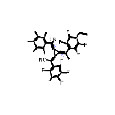 C=Cc1c(F)c(F)c(/C(C)=C2/C(=C(C#N)c3c(F)c(F)c(F)c(F)c3F)/C2=C(/C#N)c2c(C)c(C)c(C)c(C)c2C)c(F)c1F